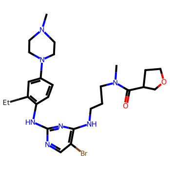 CCc1cc(N2CCN(C)CC2)ccc1Nc1ncc(Br)c(NCCCN(C)C(=O)C2CCOC2)n1